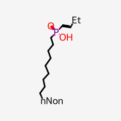 CCC=CP(=O)(O)CCCCCCCCCCCCCCCCCC